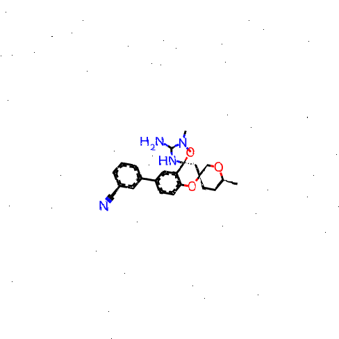 C[C@H]1CC[C@]2(CO1)C[C@@]1(NC(N)N(C)O1)c1cc(-c3cccc(C#N)c3)ccc1O2